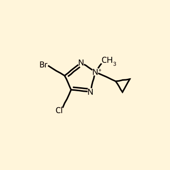 C[N+]1(C2CC2)N=C(Cl)C(Br)=N1